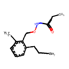 BCCc1cccc(C)c1CONC(=O)CC